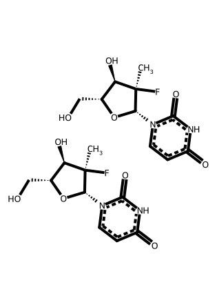 C[C@@]1(F)[C@H](O)[C@@H](CO)O[C@H]1n1ccc(=O)[nH]c1=O.C[C@@]1(F)[C@H](O)[C@@H](CO)O[C@H]1n1ccc(=O)[nH]c1=O